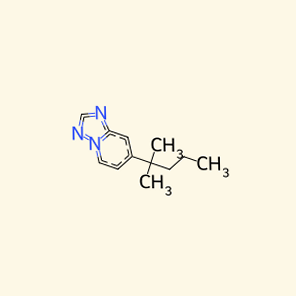 CCCC(C)(C)c1ccn2ncnc2c1